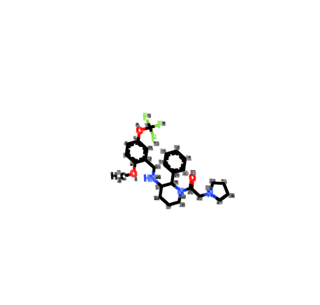 COc1ccc(OC(F)(F)F)cc1CNC1CCCN(C(=O)CN2CCCC2)C1c1ccccc1